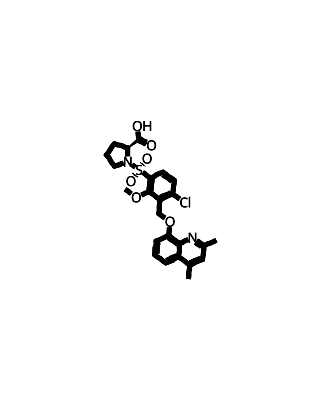 COc1c(S(=O)(=O)N2CCC[C@H]2C(=O)O)ccc(Cl)c1COc1cccc2c(C)cc(C)nc12